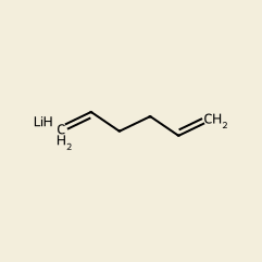 C=CCCC=C.[LiH]